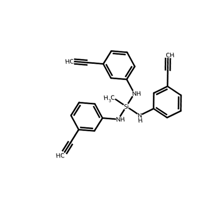 C#Cc1cccc(N[Si](C)(Nc2cccc(C#C)c2)Nc2cccc(C#C)c2)c1